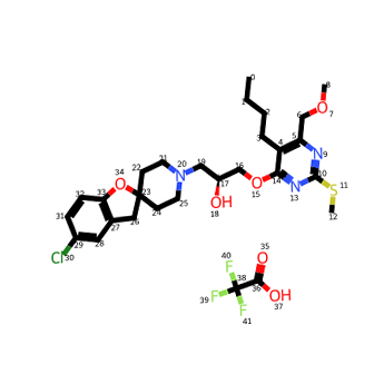 CCCCc1c(COC)nc(SC)nc1OC[C@@H](O)CN1CCC2(CC1)Cc1cc(Cl)ccc1O2.O=C(O)C(F)(F)F